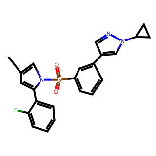 [CH2]c1cc(-c2ccccc2F)n(S(=O)(=O)c2cccc(-c3cnn(C4CC4)c3)c2)c1